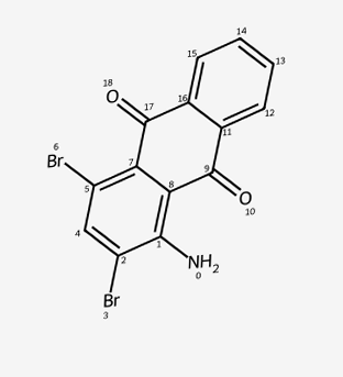 Nc1c(Br)cc(Br)c2c1C(=O)c1ccccc1C2=O